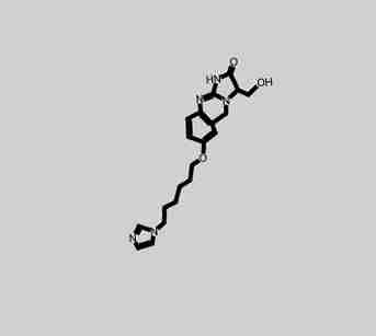 O=C1NC2=Nc3ccc(OCCCCCCn4ccnc4)cc3CN2C1CO